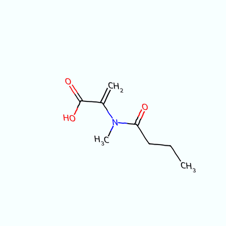 C=C(C(=O)O)N(C)C(=O)CCC